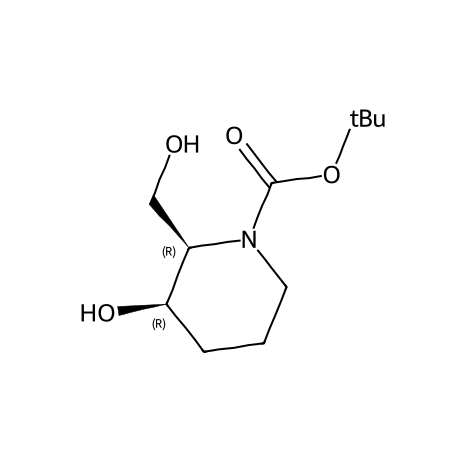 CC(C)(C)OC(=O)N1CCC[C@@H](O)[C@H]1CO